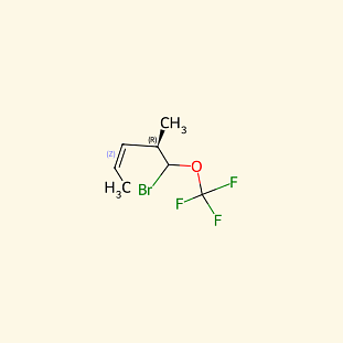 C/C=C\[C@@H](C)C(Br)OC(F)(F)F